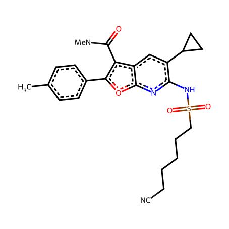 CNC(=O)c1c(-c2ccc(C)cc2)oc2nc(NS(=O)(=O)CCCCCC#N)c(C3CC3)cc12